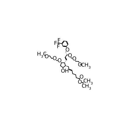 COCCOCO[C@H](/C=C/[C@@H]1[C@@H](C/C=C/CCCC(=O)OC(C)C)[C@@H](O)C[C@H]1OCOCCOC)COc1cccc(C(F)(F)F)c1